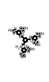 C=C(Oc1c(N)cc(S(=O)(=O)O)cc1S(=O)(=O)O)c1cc(-c2nc3cc(S(=O)(=O)O)cc(S(=O)(=O)O)c3o2)cc(-c2nc3cc(S(=O)(=O)O)cc(S(=O)(=O)O)c3o2)c1